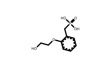 O=P(O)(O)Cc1ccccc1OCCO